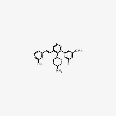 COc1cc(F)cc(-c2cncc(C=Cc3ccnc(C#N)c3)c2N2CCC(N)CC2)c1